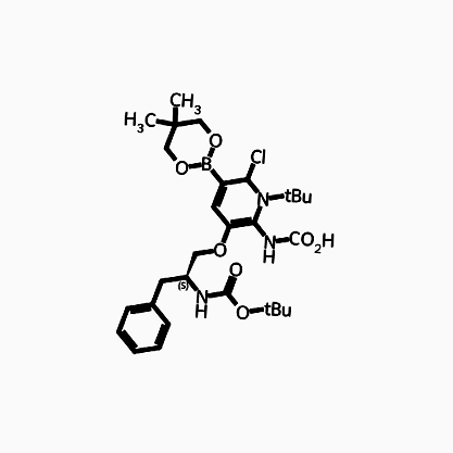 CC1(C)COB(C2=CC(OC[C@H](Cc3ccccc3)NC(=O)OC(C)(C)C)=C(NC(=O)O)N(C(C)(C)C)C2Cl)OC1